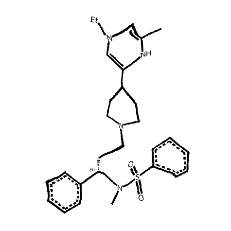 CCN1C=C(C)NC(C2CCN(CC[C@@H](c3ccccc3)N(C)S(=O)(=O)c3ccccc3)CC2)=C1